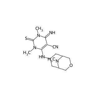 CN1C2COCC1CC(Nc1c(C#N)c(=N)n(C)c(=S)n1C)C2